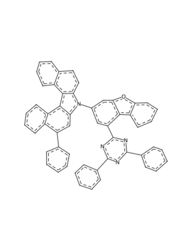 c1ccc(-c2nc(-c3ccccc3)nc(-c3cc(-n4c5ccc6ccccc6c5c5c6ccccc6c(-c6ccccc6)cc54)cc4oc5ccccc5c34)n2)cc1